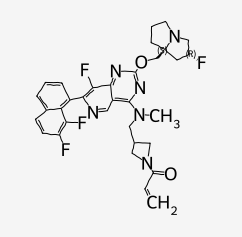 C=CC(=O)N1CC(CN(C)c2nc(OC[C@@]34CCCN3C[C@H](F)C4)nc3c(F)c(-c4cccc5ccc(F)c(F)c45)ncc23)C1